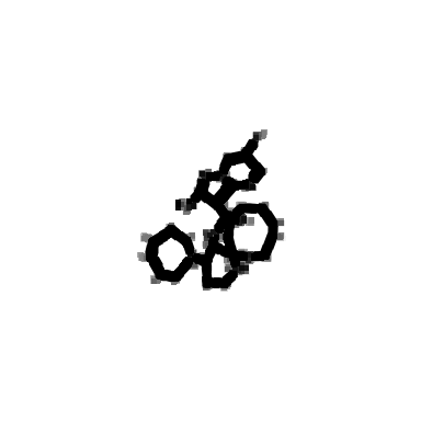 Nc1nn2cc(F)cnc2c1C(=O)NC1C(N2CCCCCC2)CCNC12CCCCCCCC2